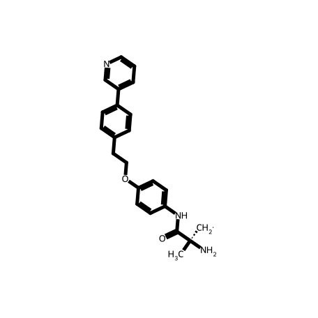 [CH2][C@@](C)(N)C(=O)Nc1ccc(OCCc2ccc(-c3cccnc3)cc2)cc1